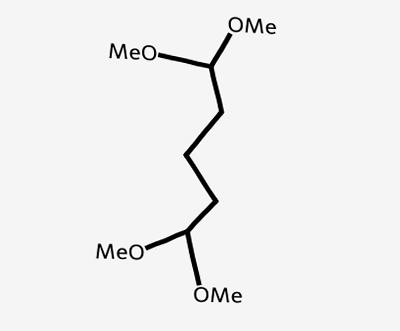 COC(CCCC(OC)OC)OC